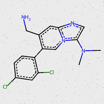 CN(C)c1cnc2cc(CN)c(-c3ccc(Cl)cc3Cl)cn12